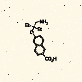 CCC(CC)(CN)Oc1ccc2cc(C(=O)O)ccc2c1